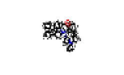 CC12CC(N(c3ccc4c(c3)C3(c5ccccc5-c5ccccc53)c3ccccc3-4)C3C=Cc4c(n(-c5ccccc5)c5ccccc45)C3)=CC=C1OC1=C2C=CCC1